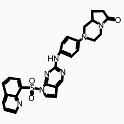 O=C1CCC2CN(c3ccc(Nc4ncc5ccn(S(=O)(=O)c6cccc7cccnc67)c5n4)cc3)CCN12